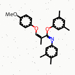 COc1ccc(OC=C(C)C(=Nc2ccc(C)c(C)c2)Oc2cc(C)cc(C)c2)cc1